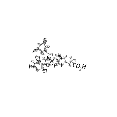 CC1(C(=O)O)CCC(n2ncc(C(=O)N(CC(=O)c3c(Cl)cc(F)cc3Cl)Cc3cc(F)cc(F)c3)c2C(F)F)CC1